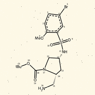 COc1ccc(Br)cc1S(=O)(=O)N[C@@H]1C[C@H](CN)N(C(=O)OC(C)(C)C)C1